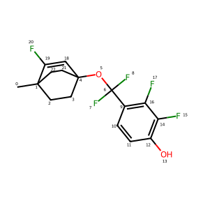 CC12CCC(OC(F)(F)c3ccc(O)c(F)c3F)(C=C1F)CC2